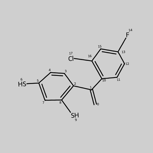 C=C(c1ccc(S)cc1S)c1ccc(F)cc1Cl